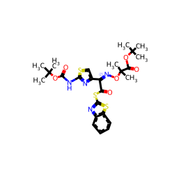 CC(C)(C)OC(=O)Nc1nc(/C(=N/OC(C)(C)C(=O)OC(C)(C)C)C(=O)Sc2nc3ccccc3s2)cs1